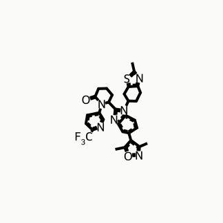 Cc1nc2c(s1)CC(n1c(C3CCCC(=O)N3c3ccc(C(F)(F)F)nc3)nc3cc(-c4c(C)noc4C)ccc31)CC2